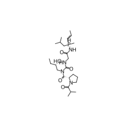 CC=C[PH](C)(CC(C)C)NC(=O)CNC(=O)N(C[C@@H](O)CC)C(=O)[C@@H]1CCCN1C(=O)C(C)C